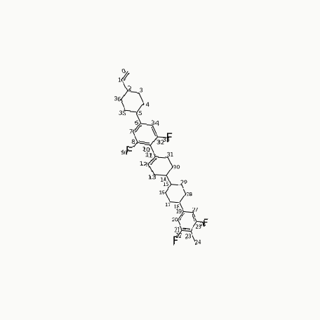 C=CC1CCC(c2cc(F)c(C3=CCC(C4CCC(c5cc(F)c(C)c(F)c5)CC4)CC3)c(F)c2)CC1